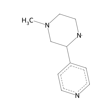 CN1CC[N]C(c2ccncc2)C1